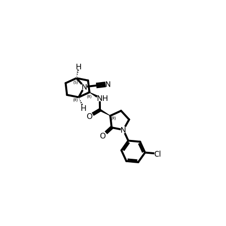 N#CN1[C@H]2CC[C@@H]1[C@H](NC(=O)[C@H]1CCN(c3cccc(Cl)c3)C1=O)C2